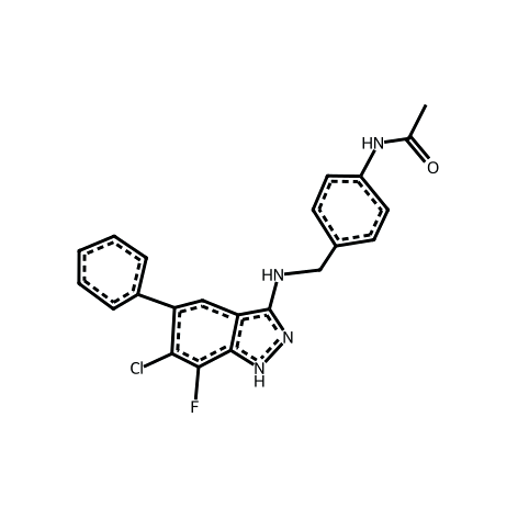 CC(=O)Nc1ccc(CNc2n[nH]c3c(F)c(Cl)c(-c4ccccc4)cc23)cc1